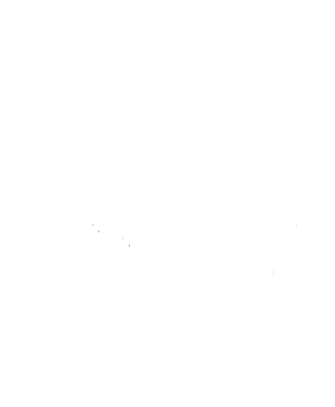 CCCCCCCCC1(CCCCCCCC)c2cc(C)ccc2-c2ccc(-c3nc(CCC)c(C)c(CCC)n3)cc21